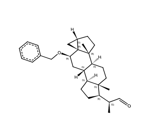 C[C@H](C=O)[C@H]1CC[C@H]2[C@@H]3C[C@@H](OCc4ccccc4)[C@]45C[C@@H]4CC[C@]5(C)[C@H]3CC[C@]12C